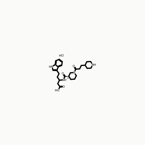 Cl.O=C(O)CC(CCc1c[nH]c2ccccc12)NC(=O)[C@@H]1CCCN(C(=O)CCC2CCNCC2)C1